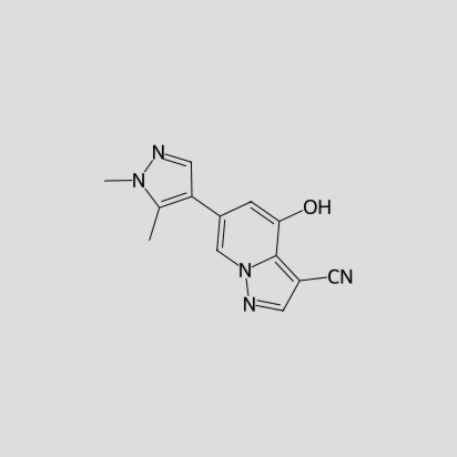 Cc1c(-c2cc(O)c3c(C#N)cnn3c2)cnn1C